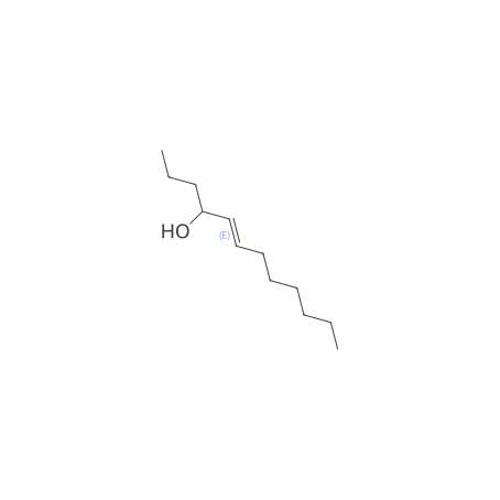 CCCCCC/C=C/C(O)CCC